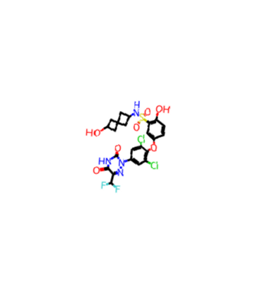 O=c1[nH]c(=O)n(-c2cc(Cl)c(Oc3ccc(O)c(S(=O)(=O)NC4CC5(CC(O)C5)C4)c3)c(Cl)c2)nc1C(F)F